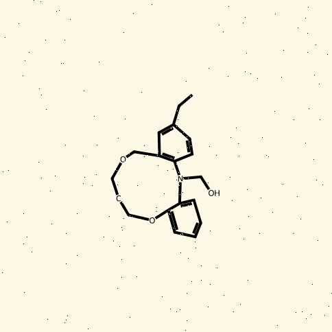 CCc1ccc2c(c1)COCCCOc1ccccc1N2CO